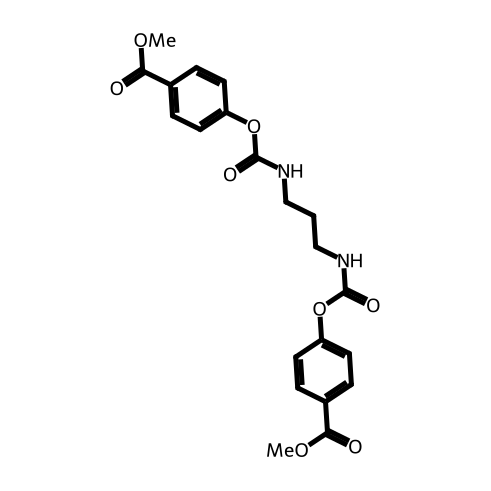 COC(=O)c1ccc(OC(=O)NCCCNC(=O)Oc2ccc(C(=O)OC)cc2)cc1